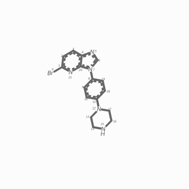 Brc1ccc2ncn(-c3ccc(N4CCNCC4)cc3)c2n1